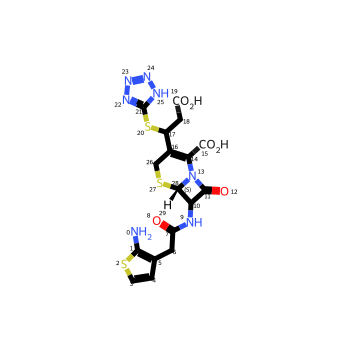 Nc1sccc1CC(=O)NC1C(=O)N2C(C(=O)O)=C(C(CC(=O)O)Sc3nnn[nH]3)CS[C@@H]12